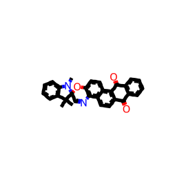 CN1c2ccccc2C(C)(C)C12C=Nc1c(ccc3c4c(ccc13)C(=O)c1ccccc1C4=O)O2